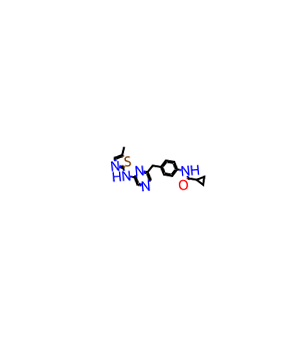 Cc1cnc(Nc2cncc(Cc3ccc(NC(=O)C4CC4)cc3)n2)s1